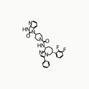 O=C(N[C@@H]1CC[C@@H](c2cccc(F)c2F)Cn2c(-c3ccccc3)cnc21)N1CCC(n2c(=O)[nH]c3ncccc32)CC1